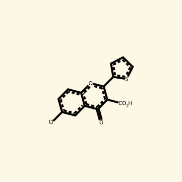 O=C(O)c1c(-c2cccs2)oc2ccc(Cl)cc2c1=O